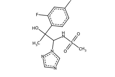 CC(O)(c1ccc(F)cc1F)C(NS(C)(=O)=O)n1cncn1